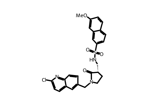 COc1ccc2ccc(S(=O)(=O)NC[C@@H]3CCN(Cc4ccc5nc(Cl)ccc5c4)C3=O)cc2c1